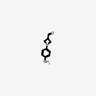 Nc1ccc(N2CC(C=O)C2)cc1